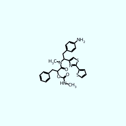 CNC(=O)OC(Cc1ccccc1)C(=O)N(C)C(Cc1ccc(N)cc1)c1csc(-c2cccs2)n1